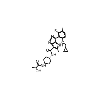 Cc1ccc(OCC2CC2)c(-c2ncnc3c(C(=O)N[C@H]4CC[C@@H](NC(=O)[C@H](C)O)CC4)c(C)[nH]c23)c1F